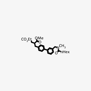 CCCCCCC(=O)N(C)Cc1cccc(-c2ccc(CC(CC(=O)OCC)C(=O)OC)cc2)c1